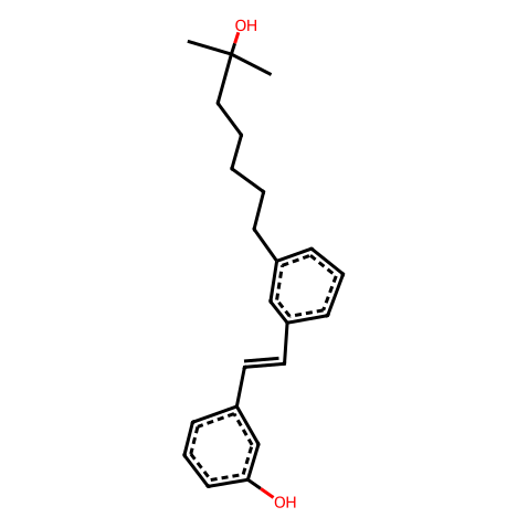 CC(C)(O)CCCCCc1cccc(C=Cc2cccc(O)c2)c1